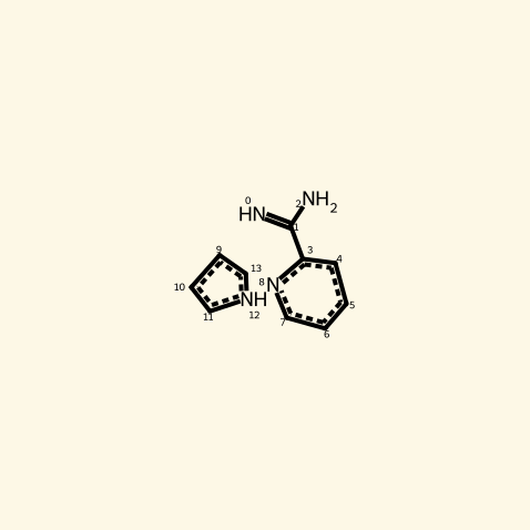 N=C(N)c1ccccn1.c1cc[nH]c1